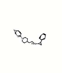 c1ccc(C2CC2NCCC2CCN(c3ccncn3)CC2)cc1